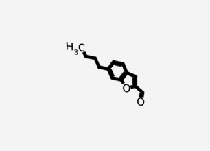 CCCCc1ccc2cc(C=O)oc2c1